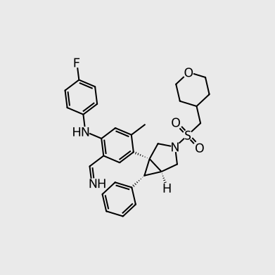 Cc1cc(Nc2ccc(F)cc2)c(C=N)cc1[C@]12CN(S(=O)(=O)CC3CCOCC3)C[C@H]1[C@@H]2c1ccccc1